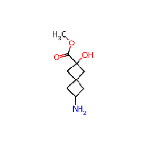 COC(=O)C1(O)CC2(CC(N)C2)C1